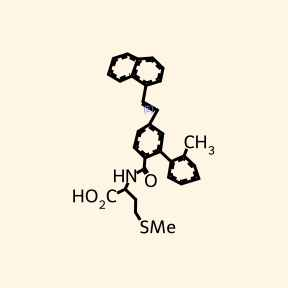 CSCCC(NC(=O)c1ccc(/C=C/c2cccc3ccccc23)cc1-c1ccccc1C)C(=O)O